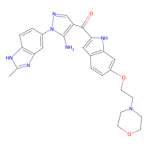 Cc1nc2cc(-n3ncc(C(=O)c4cc5ccc(OCCN6CCOCC6)cc5[nH]4)c3N)ccc2[nH]1